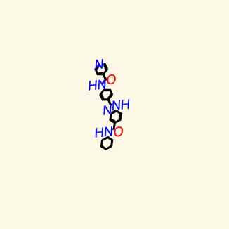 O=C(Nc1ccc(-c2nc3cc(C(=O)NC4CCCCC4)ccc3[nH]2)cc1)c1ccncc1